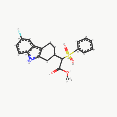 COC(=O)C(C1CCc2c([nH]c3ccc(F)cc23)C1)S(=O)(=O)c1ccccc1